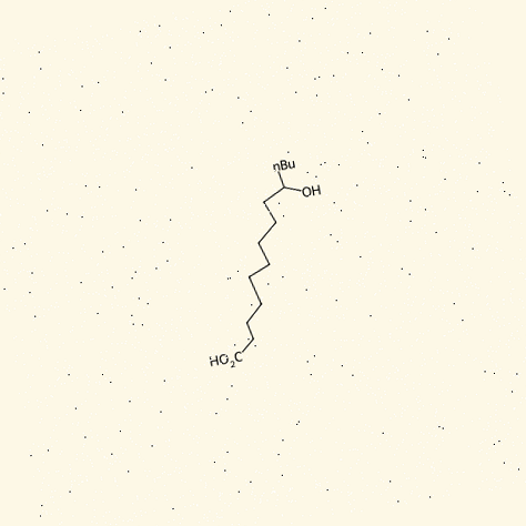 CCCCC(O)CCCCCCCCC(=O)O